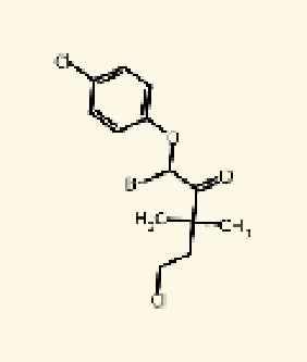 CC(C)(CCCl)C(=O)C(Br)Oc1ccc(Cl)cc1